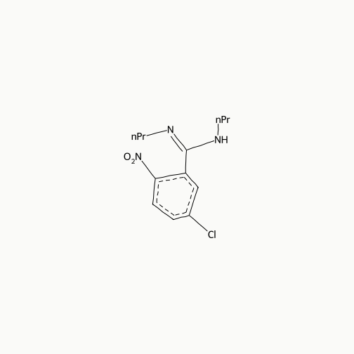 CCC/N=C(/NCCC)c1cc(Cl)ccc1[N+](=O)[O-]